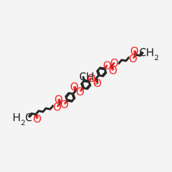 C=CC(=O)CCCCCOC(=O)Oc1ccc(C(=O)Oc2ccc(OC(=O)c3ccc(OC(=O)OCCCCOC(=O)C=C)cc3)c(C)c2)cc1